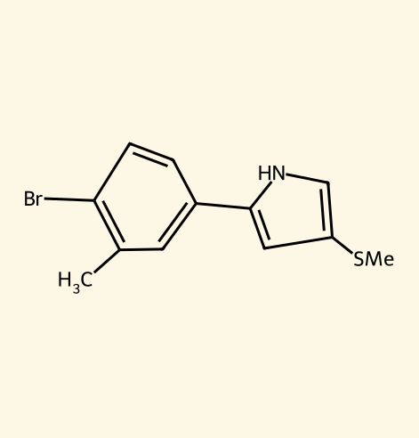 CSc1c[nH]c(-c2ccc(Br)c(C)c2)c1